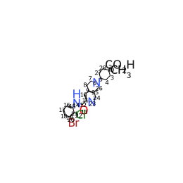 CC1(C(=O)O)CCC(N2CCc3cc(C(=O)Nc4cccc(Br)c4Cl)ncc3C2)CC1